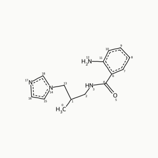 CC(CNC(=O)c1ccccc1N)Cn1ccnc1